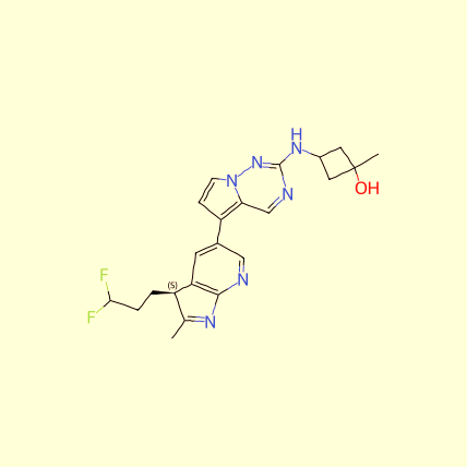 CC1=Nc2ncc(-c3ccn4nc(NC5CC(C)(O)C5)ncc34)cc2[C@@H]1CCC(F)F